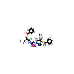 C[C@H](CSC(=O)c1ccccc1)C(=O)[N-]c1c[n+](N(C)C(=O)[C@H](C)CSC(=O)c2ccccc2)no1